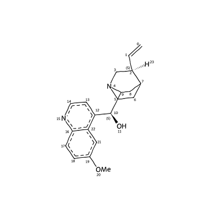 C=C[C@@H]1CN2CCC1CC2[C@@H](O)c1ccnc2ccc(OC)cc12